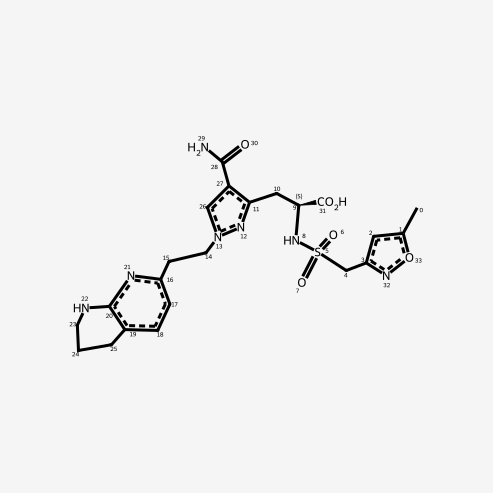 Cc1cc(CS(=O)(=O)N[C@@H](Cc2nn(CCc3ccc4c(n3)NCCC4)cc2C(N)=O)C(=O)O)no1